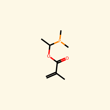 C=C(C)C(=O)OC(C)P(C)C